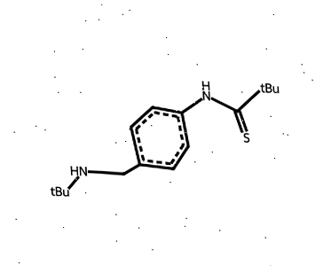 CC(C)(C)NCc1ccc(NC(=S)C(C)(C)C)cc1